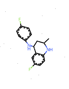 CC1C[C@H](Nc2ccc(F)cc2)c2cc(F)ccc2N1